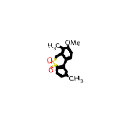 COc1ccc2c(c1C)CS(=O)(=O)c1ccc(C)cc1-2